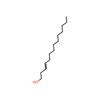 CCCCCCCCCCC=CCCO